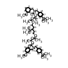 COc1cccc(CN(Cc2ccc(N(C)C)cc2)C(=O)OC(C)OC(C)OCCC(CCOC(C)OC(C)OC(=O)N(Cc2ccc(N(C)C)cc2)Cc2cccc(OC)c2)N(C)C)c1